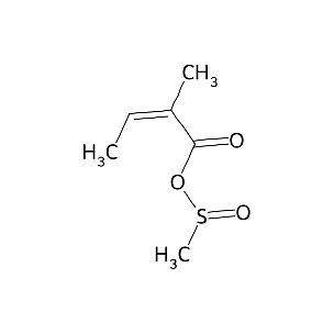 CC=C(C)C(=O)OS(C)=O